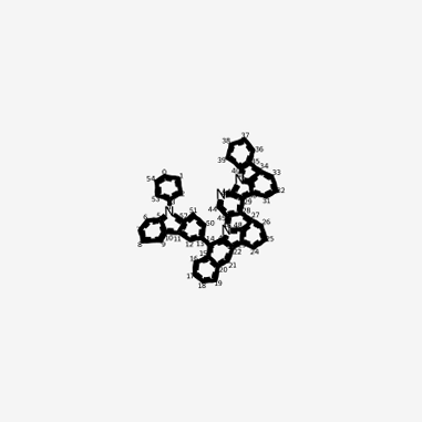 c1ccc(-n2c3ccccc3c3cc(-c4c5ccccc5cc5c6cccc7c8c9c%10cccc%11c%12ccccc%12n(c9ncc8n(c45)c67)c%11%10)ccc32)cc1